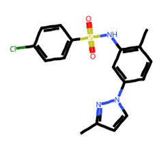 Cc1ccn(-c2ccc(C)c(NS(=O)(=O)c3ccc(Cl)cc3)c2)n1